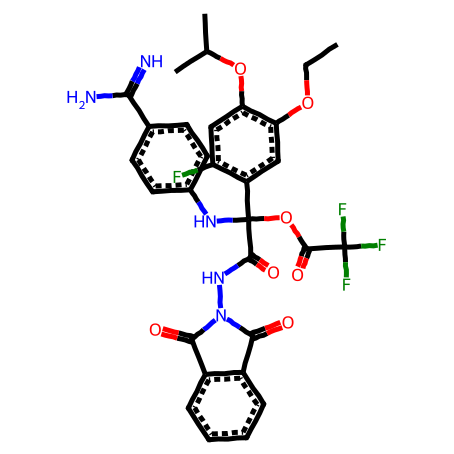 CCOc1cc(C(Nc2ccc(C(=N)N)cc2)(OC(=O)C(F)(F)F)C(=O)NN2C(=O)c3ccccc3C2=O)c(F)cc1OC(C)C